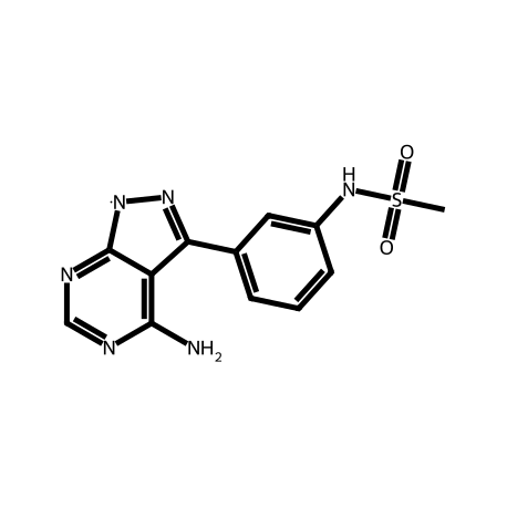 CS(=O)(=O)Nc1cccc(C2=N[N]c3ncnc(N)c32)c1